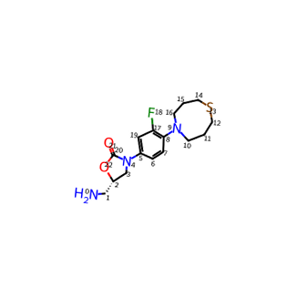 NC[C@H]1CN(c2ccc(N3CCCSCCC3)c(F)c2)C(=O)O1